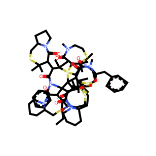 CCCN1CCSC(C)(C)C(C2(C3C(=O)N(CC)CCSC3(C)C)C(C3C(=O)N4CCCCC4CCSC3(C)C)(C3C(=O)N4CCCCC4CSC3(C)C)N(c3ccccc3)C(=O)[C](C3C(=O)N4CCCC4CSC3(C)C)C(C)(C)S2(C2C(=O)N(C)CCSC2(C)C)C2C(=O)N(C)C(Cc3ccccc3)CSC2(C)C)C1=O